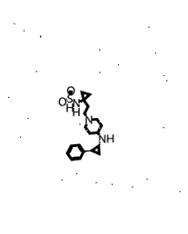 O=[SH](=O)NC1(CCN2CCC(N[C@@H]3C[C@H]3c3ccccc3)CC2)CC1